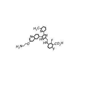 Cc1cccc(-c2nc(CNc3ccc(F)c(C(=O)O)c3F)[nH]c2-c2ccc3ncc(OCCN)cc3c2)n1